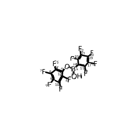 OB(Oc1c(F)c(F)c(F)c(F)c1F)c1c(F)c(F)c(F)c(F)c1F